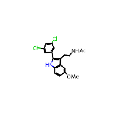 COc1ccc2[nH]c(-c3cc(Cl)cc(Cl)c3)c(CCNC(C)=O)c2c1